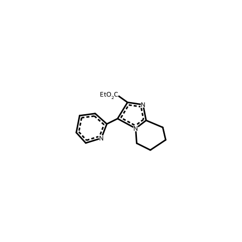 CCOC(=O)c1nc2n(c1-c1ccccn1)CCCC2